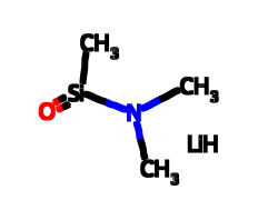 CN(C)[Si](C)=O.[LiH]